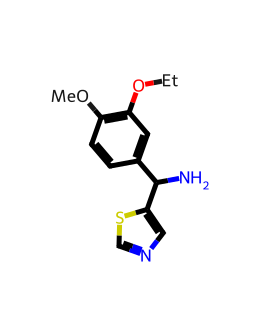 CCOc1cc(C(N)c2cncs2)ccc1OC